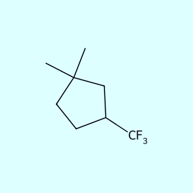 CC1(C)CCC(C(F)(F)F)C1